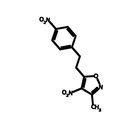 Cc1noc(CCc2ccc([N+](=O)[O-])cc2)c1[N+](=O)[O-]